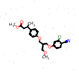 COCC(COc1ccc(C(C)CC(=O)OC)cc1)COc1ccc(C#N)c(Cl)c1